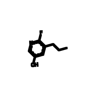 CCCc1cc(O)cnc1F